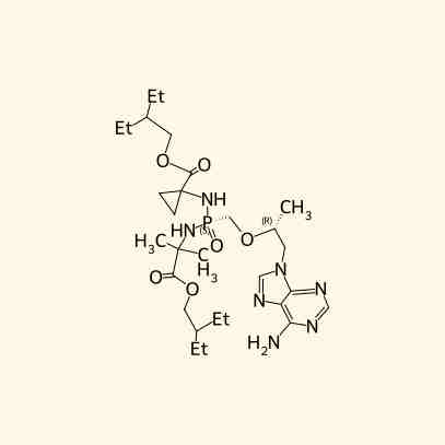 CCC(CC)COC(=O)C(C)(C)N[P@@](=O)(CO[C@H](C)Cn1cnc2c(N)ncnc21)NC1(C(=O)OCC(CC)CC)CC1